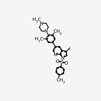 Cc1ccc(S(=O)(=O)n2cc(I)c3cc(-c4cc(C)c(N5CCN(C)CC5)c(C)c4)cnc32)cc1